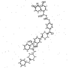 O=C(c1ccc(CNCC(O)c2ccc(O)c3[nH]c(=O)ccc23)cc1)N1CC=C(c2ccc(C(O)(C(=O)OCC3CCN(Cc4ccccc4)CC3)c3ccccc3)cc2)CC1